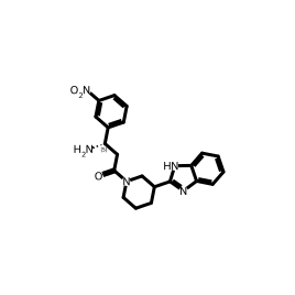 N[C@@H](CC(=O)N1CCCC(c2nc3ccccc3[nH]2)C1)c1cccc([N+](=O)[O-])c1